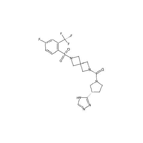 O=C(N1CC[C@H](c2nnc[nH]2)C1)N1CC2(C1)CN(S(=O)(=O)c1ccc(F)cc1C(F)(F)F)C2